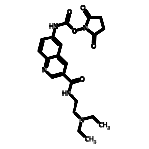 CCN(CC)CCNC(=O)c1cnc2ccc(NC(=O)ON3C(=O)CCC3=O)cc2c1